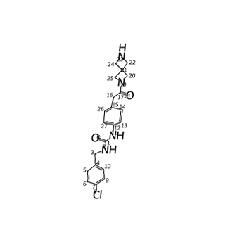 O=C(NCc1ccc(Cl)cc1)Nc1ccc(CC(=O)N2CC3(CNC3)C2)cc1